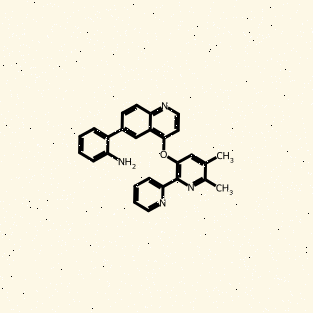 Cc1cc(Oc2ccnc3ccc(-c4ccccc4N)cc23)c(-c2ccccn2)nc1C